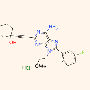 COCCn1c(-c2cccc(F)c2)nc2c(N)nc(C#CC3(O)CCCCC3)nc21.Cl